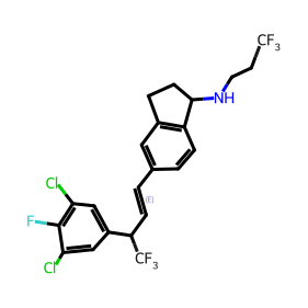 Fc1c(Cl)cc(C(/C=C/c2ccc3c(c2)CCC3NCCC(F)(F)F)C(F)(F)F)cc1Cl